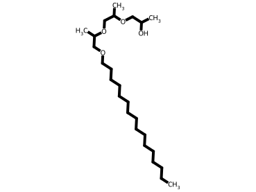 CCCCCCCCCCCCCCCCOCC(C)OCC(C)OCC(C)O